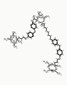 CCC(Oc1ccc(Cc2ccc(OCCC[Si]3(C)O[SiH](C)O[SiH](C)O[SiH](C)O3)cc2)cc1)[Si]1(C)O[SiH](C)O[SiH](C)O[Si](C)(CCCOCCCCc2ccc(Cc3ccc(OCCC[Si]4(C)O[SiH](C)O[SiH](C)O[SiH](C)O4)cc3)cc2)O1